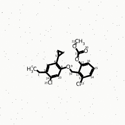 CCc1cc(C2CC2)c(OCc2c(Cl)cccc2OC(=O)OC)cc1Cl